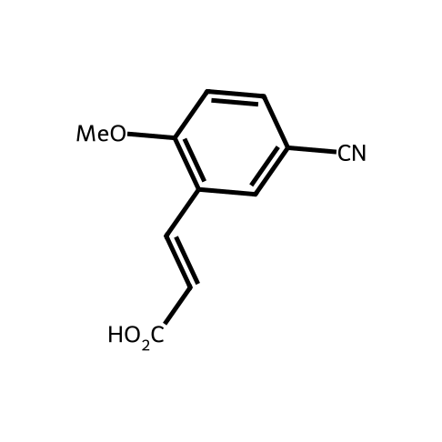 COc1ccc(C#N)cc1C=CC(=O)O